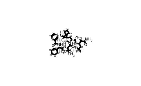 CC(C)(C)[C@H](NC(=O)[C@@H](NC(=O)c1cnccn1)C1CCCCC1)C(=O)N1C[C@]2(C[C@H]1C(=O)NC(CC(F)(F)F)C(=O)C(N)=O)C(C)(C)C21CCC1